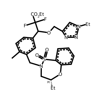 CCOC(=O)C(F)(F)C(OCc1cn(CC)nn1)c1ccc(C)c(CN2C[C@@H](CC)Oc3ccccc3S2(=O)=O)c1